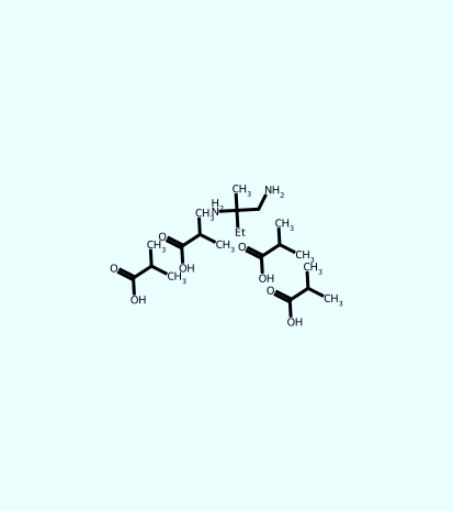 CC(C)C(=O)O.CC(C)C(=O)O.CC(C)C(=O)O.CC(C)C(=O)O.CCC(C)(N)CN